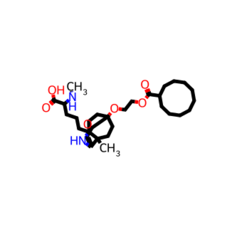 CNC(CCCC12CCC3(OCCOC(=O)C4CCCCCCCCC4)CCC1(C)C(=CC3=O)N2)C(=O)O